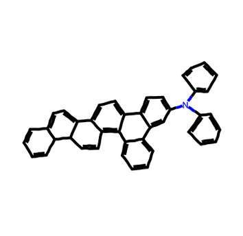 C1=CC2=CC=C3c4ccc5c6ccc(N(c7ccccc7)c7ccccc7)cc6c6ccccc6c5c4C=CC3C2C=C1